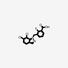 O=C(O)c1cccc(Cn2ncc3ccc(Cl)c(Cl)c32)c1F